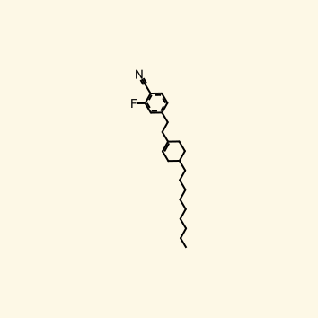 CCCCCCCCCC1CC=C(CCc2ccc(C#N)c(F)c2)CC1